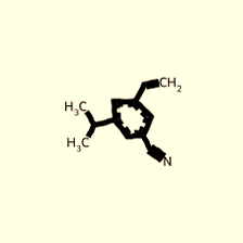 C=Cc1cc(C#N)cc(C(C)C)c1